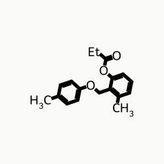 CCC(=O)Oc1cccc(C)c1COc1ccc(C)cc1